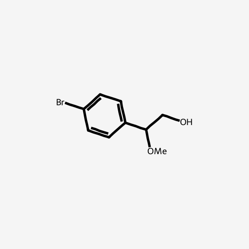 COC(CO)c1ccc(Br)cc1